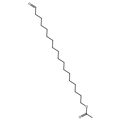 CC(=O)OCCCCCCCCCCCCCCCCC[C]=O